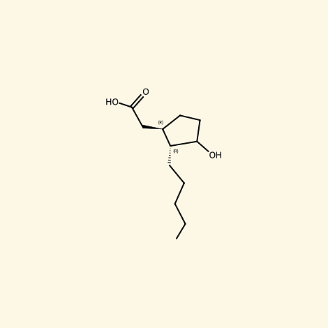 CCCCC[C@H]1C(O)CC[C@@H]1CC(=O)O